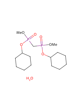 COP(=O)(CP(=O)(OC)OC1CCCCC1)OC1CCCCC1.O